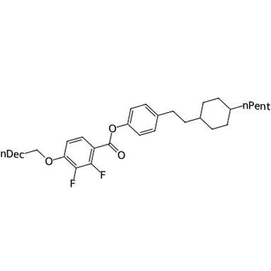 CCCCCCCCCCCOc1ccc(C(=O)Oc2ccc(CCC3CCC(CCCCC)CC3)cc2)c(F)c1F